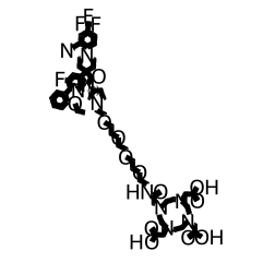 CCOc1ccccc1-c1ncc(C2(C(=O)N[C@@H]3CCN(CCOCCOCCOCCOCCNC(=O)CN4CCN(CC(=O)O)CCN(CC(=O)O)CCN(CC(=O)O)CC4)C3)CCN(c3ccc(C(F)(F)F)cc3C#N)CC2)cc1F